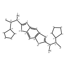 CC(=O)N(c1nc2cc3nc(N(C(C)=O)N(C)C4CCCC4)sc3cc2s1)N(C)C1CCCC1